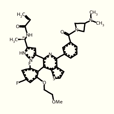 C=CC(=O)N[C@H](C)c1cc(-c2nc(-c3cccc(C(=O)N4CC(N(C)C)C4)c3)c3ccsc3c2-c2c(F)cc(F)cc2OCCOC)n[nH]1